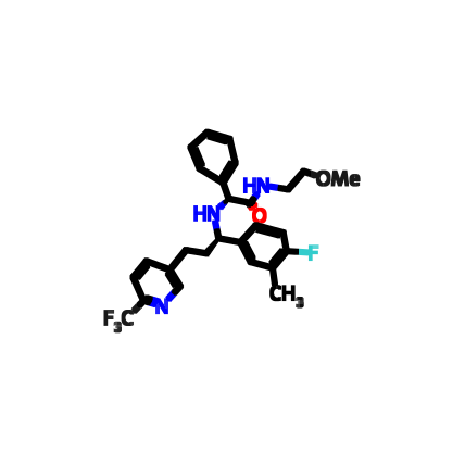 COCCNC(=O)[C@@H](N[C@H](CCc1ccc(C(F)(F)F)nc1)c1ccc(F)c(C)c1)c1ccccc1